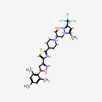 Cc1cc(C)c([C@H]2CC(c3csc(C4CCN(C(C=O)Cn5nc(C(F)(F)F)cc5C)CC4)n3)=NO2)c(C)c1